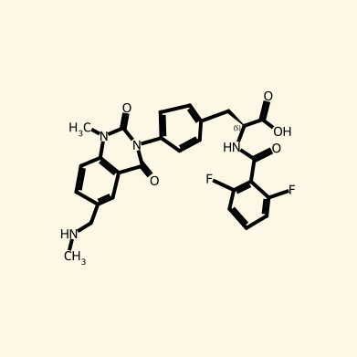 CNCc1ccc2c(c1)c(=O)n(-c1ccc(C[C@H](NC(=O)c3c(F)cccc3F)C(=O)O)cc1)c(=O)n2C